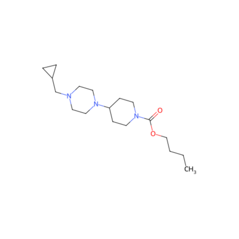 CCCCOC(=O)N1CCC(N2CCN(CC3CC3)CC2)CC1